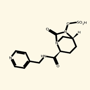 O=C(NCc1ccncc1)[C@@H]1CC[C@@H]2CN1C(=O)N2OS(=O)(=O)O